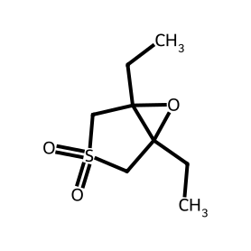 CCC12CS(=O)(=O)CC1(CC)O2